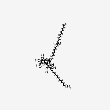 CCCCCCCCCCCCCC[C@@H](O)[C@@H](O)[C@H](CO[C@H]1OC(CO)[C@H](O)[C@H](O)C1O)NC(=O)CCCCCCCCCCCNC(=O)CCCCCCCCCCCBr